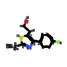 CCOC(=O)c1nc(-c2ccc(F)cc2)c(CCBr)s1